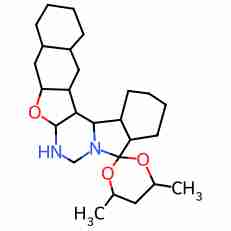 CC1CC(C)OC2(O1)C1CCCCC1C1C3C(NCN12)OC1CC2CCCCC2CC13